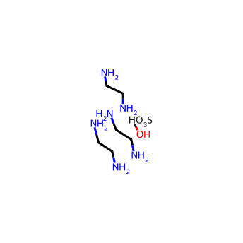 NCCN.NCCN.NCCN.O=S(=O)(O)O